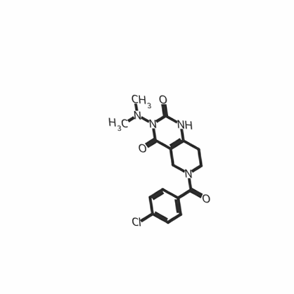 CN(C)n1c(=O)[nH]c2c(c1=O)CN(C(=O)c1ccc(Cl)cc1)CC2